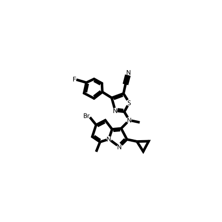 Cc1cc(Br)cc2c(N(C)c3nc(-c4ccc(F)cc4)c(C#N)s3)c(C3CC3)nn12